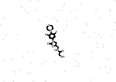 O=C(CS)NCC1CN(c2cc(F)c(N3CCSCC3)c(F)c2)C(=O)O1